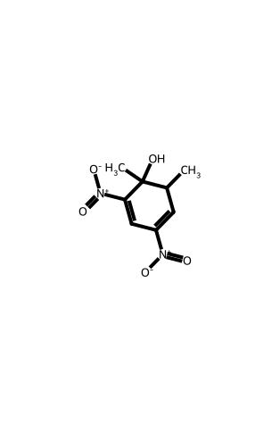 CC1C=C([N+](=O)[O-])C=C([N+](=O)[O-])C1(C)O